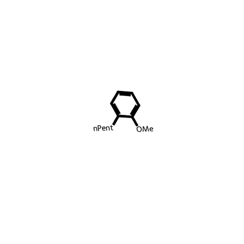 [CH2]CCCCc1ccccc1OC